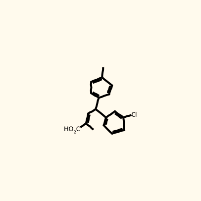 CC(=CC(c1ccc(C)cc1)c1cccc(Cl)c1)C(=O)O